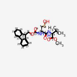 COC(=O)[C@@H](NC(=O)[C@H](CSO)NC(=O)OCC1c2ccccc2-c2ccccc21)C(C)C